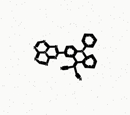 N#CC(C#N)=C1c2ccccc2N(c2ccccc2)c2ccc(C3=NC4=NC=NC5=NC=NC(=N3)N54)cc21